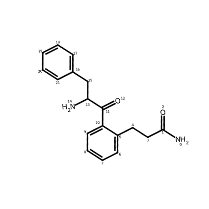 NC(=O)CCc1ccccc1C(=O)C(N)Cc1ccccc1